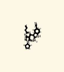 C=CCc1nc(C2C(=O)Nc3ccc(C#N)cc32)c2c(N)n(C3CCCC3)nc2n1